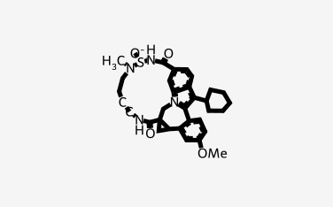 COc1ccc2c(c1)C1CC13Cn1c-2c(C2CCCCC2)c2ccc(cc21)C(=O)N[S+]([O-])N(C)CCCCNC3=O